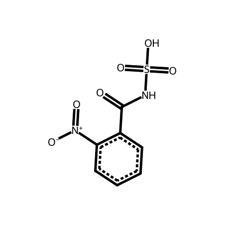 O=C(NS(=O)(=O)O)c1ccccc1[N+](=O)[O-]